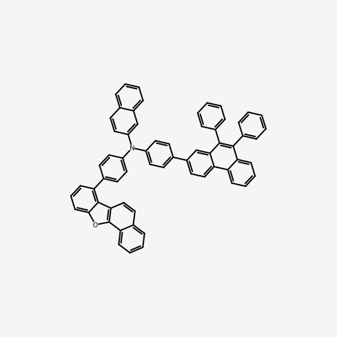 c1ccc(-c2c(-c3ccccc3)c3cc(-c4ccc(N(c5ccc(-c6cccc7oc8c9ccccc9ccc8c67)cc5)c5ccc6ccccc6c5)cc4)ccc3c3ccccc23)cc1